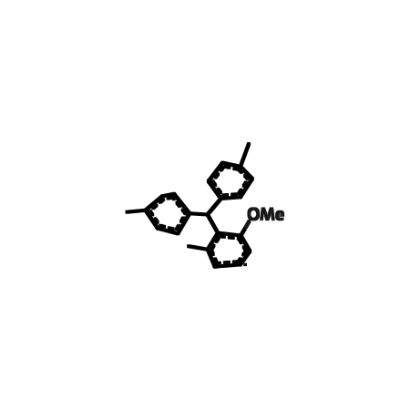 COc1c[c]cc(C)c1C(c1ccc(C)cc1)c1ccc(C)cc1